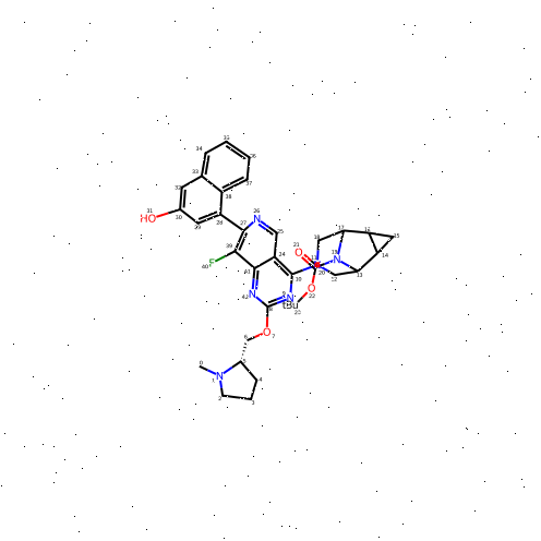 CN1CCC[C@H]1COc1nc(N2CC3C4CC4C(C2)N3C(=O)OC(C)(C)C)c2cnc(-c3cc(O)cc4ccccc34)c(F)c2n1